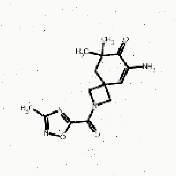 Cc1noc(C(=O)N2CC3(C=C(N)C(=O)C(C)(C)C3)C2)n1